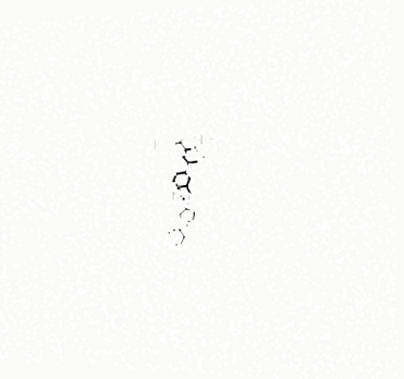 Nc1ncc(-c2ccc3nn(C4CCN(C5CCOCC5)C4)cc3c2)cc1C(=O)O